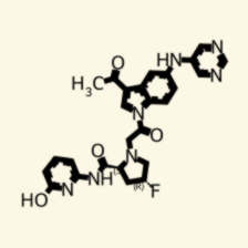 CC(=O)c1cn(C(=O)CN2C[C@H](F)C[C@H]2C(=O)Nc2cccc(O)n2)c2ccc(Nc3cncnc3)cc12